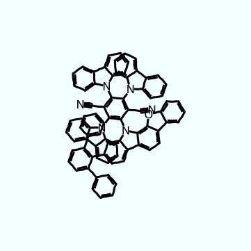 N#Cc1c(-n2c3ccccc3c3ccccc32)c(-n2c3ccccc3c3ccccc32)c(C#N)c(-n2c3cc(-c4c(-c5ccccc5)cccc4-c4ccccc4)ccc3c3ccc4c5ccccc5oc4c32)c1-n1c2ccccc2c2ccccc21